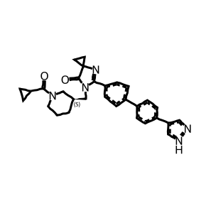 O=C(C1CC1)N1CCC[C@H](CN2C(=O)C3(CC3)N=C2c2ccc(-c3ccc(-c4cn[nH]c4)cc3)cc2)C1